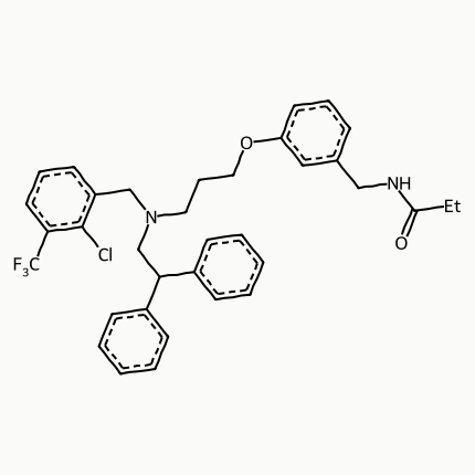 CCC(=O)NCc1cccc(OCCCN(Cc2cccc(C(F)(F)F)c2Cl)CC(c2ccccc2)c2ccccc2)c1